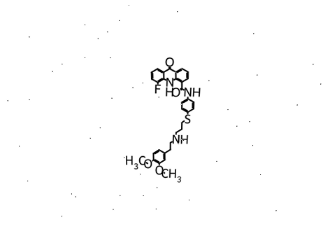 COc1ccc(CCNCCCSc2ccc(NC(=O)c3cccc4c(=O)c5cccc(F)c5[nH]c34)cc2)cc1OC